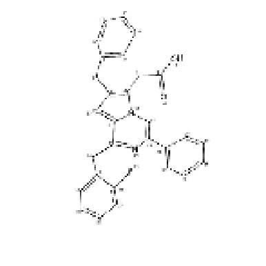 O=C(O)Cc1c(Cc2ccccc2)nc2c(Cc3ccccc3F)nc(-c3ccccc3)cn12